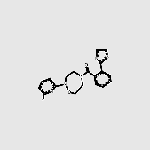 Cc1cccc(N2CCN(C(=O)c3ccccc3-c3nccs3)CCO2)n1